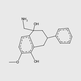 COc1ccc2c(c1O)CC(c1ccccc1)CC2(O)CN